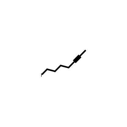 CC#CCCCCI